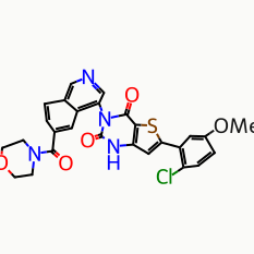 COc1ccc(Cl)c(-c2cc3[nH]c(=O)n(-c4cncc5ccc(C(=O)N6CCOCC6)cc45)c(=O)c3s2)c1